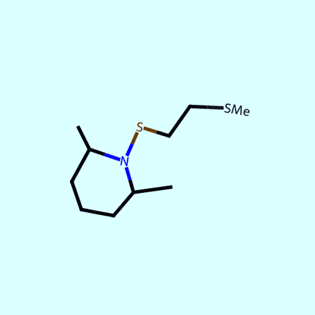 CSCCSN1C(C)CCCC1C